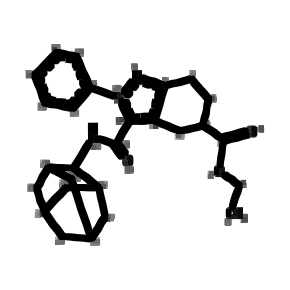 CCOC(=O)C1CCc2nn(-c3ccccc3)c(C(=O)NC3C4CC5CC(C4)CC3C5)c2C1